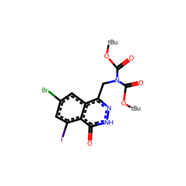 CC(C)(C)OC(=O)N(Cc1n[nH]c(=O)c2c(I)cc(Br)cc12)C(=O)OC(C)(C)C